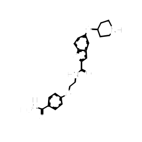 O=C(NO)c1ccc(OCCNC(=O)c2cc3cc(OC4CCNCC4)ccc3o2)cc1